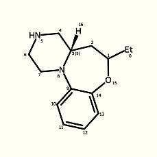 CCC1C[C@H]2CNCCN2c2ccccc2O1